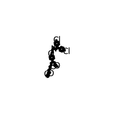 COC(=O)CC(CCCCCC(=O)OC(C)(C)C)c1ccc(OCCN(C)CC(c2ccc(Cl)cc2)c2ccc(Cl)cc2)cc1